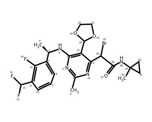 Cc1nc(N[C@H](C)c2cccc(C(F)F)c2F)c(C2OCCO2)c(C(Br)C(=O)NC2(C)CC2)n1